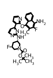 Cc1c(F)c(N)c2ccccc2c1Oc1ncccc1-c1ccnc(N[C@H]2C[C@H](F)CN(C(=O)OC(C)(C)C)C2)n1